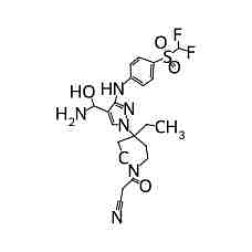 CCC1(n2cc(C(N)O)c(Nc3ccc(S(=O)(=O)C(F)F)cc3)n2)CCN(C(=O)CC#N)CC1